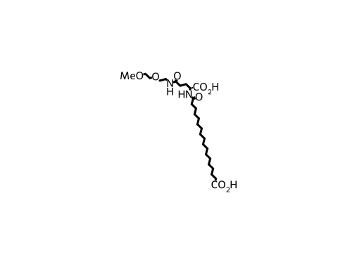 COCCOCCNC(=O)CC[C@H](NC(=O)CCCCCCCCCCCCCCCCC(=O)O)C(=O)O